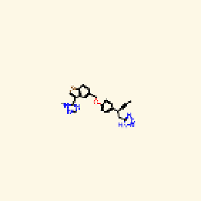 CC#CC(Cc1nnn[nH]1)c1ccc(OCc2ccc3scc(-c4ncnn4C)c3c2)cc1